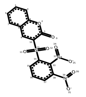 O=c1oc2ccccc2cc1S(=O)(=O)c1cccc([N+](=O)[O-])c1[N+](=O)[O-]